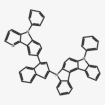 c1ccc(-n2c3ccc(-c4cc(-n5c6ccccc6c6c7c8ccccc8n(-c8ccccc8)c7ccc65)cc5ccccc45)cc3c3ncccc32)cc1